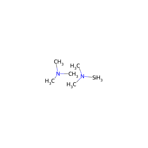 CN(C)C.CN(C)[SiH3]